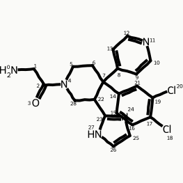 NCC(=O)N1CCC(c2ccncc2)(c2ccc(Cl)c(Cl)c2)C(c2ncc[nH]2)C1